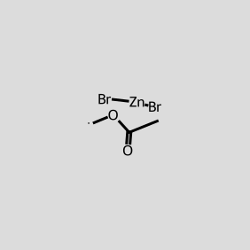 [Br][Zn][Br].[CH2]OC(C)=O